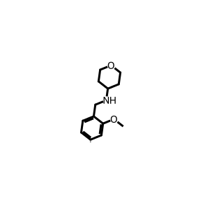 COc1c[c]ccc1CNC1CCOCC1